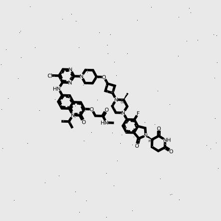 CNC(=O)COc1cc2cc(Nc3nc(N4CCC(OC5CC(N6CCN(c7ccc8c(c7F)CN([C@@H]7CCC(=O)NC7=O)C8=O)C[C@@H]6C)C5)CC4)ncc3Cl)ccc2n(C(C)C)c1=O